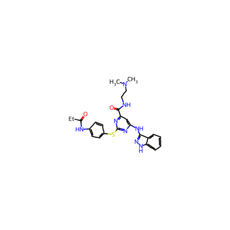 CCC(=O)Nc1ccc(Sc2nc(Nc3n[nH]c4ccccc34)cc(C(=O)NCCN(C)C)n2)cc1